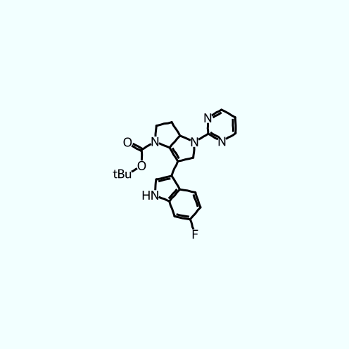 CC(C)(C)OC(=O)N1CCC2C1=C(c1c[nH]c3cc(F)ccc13)CN2c1ncccn1